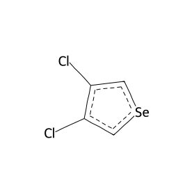 Clc1c[se]cc1Cl